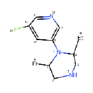 CCC1CNCC(CC)N1c1cncc(F)c1